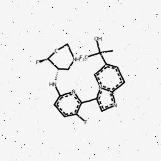 CC(O)(c1ccc2ncc(-c3nc(N[C@H]4CNCC[C@@H]4F)ccc3F)n2c1)C(F)(F)F